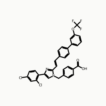 O=C(O)c1ccc(Cn2cc(-c3ccc(Cl)cc3Cl)nc2C=Cc2ccc(-c3cccc(OC(F)(F)F)c3)cc2)cc1